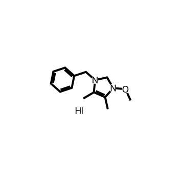 CON1CN(Cc2ccccc2)C(C)=C1C.I